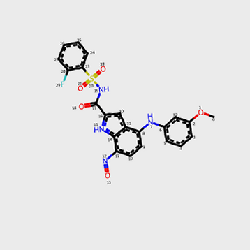 COc1cccc(Nc2ccc(N=O)c3[nH]c(C(=O)NS(=O)(=O)c4ccccc4F)cc23)c1